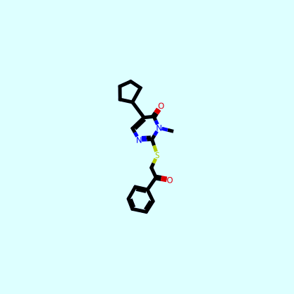 Cn1c(SCC(=O)c2ccccc2)ncc(C2CCCC2)c1=O